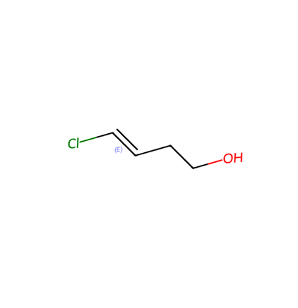 OCC/C=C/Cl